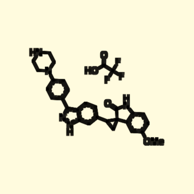 COc1ccc2c(c1)C1(CC1c1ccc3c(-c4ccc(N5CCNCC5)cc4)n[nH]c3c1)C(=O)N2.O=C(O)C(F)(F)F